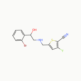 N#Cc1sc(CNCC(O)c2ccccc2Br)cc1F